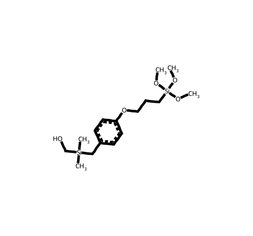 CO[Si](CCCOc1ccc(C[Si](C)(C)CO)cc1)(OC)OC